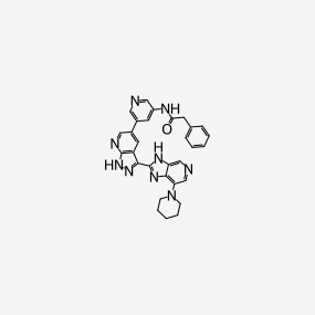 O=C(Cc1ccccc1)Nc1cncc(-c2cnc3[nH]nc(-c4nc5c(N6CCCCC6)cncc5[nH]4)c3c2)c1